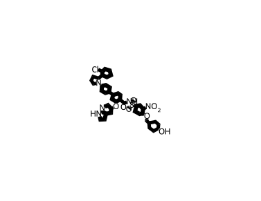 O=C(NS(=O)(=O)c1ccc(OCC2CCC(O)CC2)c([N+](=O)[O-])c1)c1ccc(-c2ccc(N3CCCC3c3ccccc3Cl)cc2)cc1Oc1cnc2[nH]ccc2c1